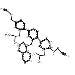 CC(C)Cc1cc(-c2ccc(-c3ccc(CCC#N)cc3CC(C)C)cc2Cc2cccc3ccccc23)ccc1OCC#N